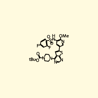 COc1ncc(-c2cc3c(N4CCN(C(=O)OC(C)(C)C)CC4)ncnc3s2)cc1NS(=O)(=O)c1ccc(F)cc1F